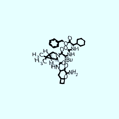 CC(C)(C)[C@H](NC(=O)N[C@H](C(=O)OCc1ccccc1)C1CCCCC1)C(=O)N1C[C@H]2[C@@H]([C@H]1C(=O)NC(CC1CCC1)C(=O)C(N)=O)C2(C)C